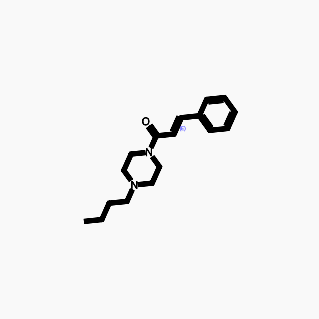 CCCCN1CCN(C(=O)/C=C/c2ccccc2)CC1